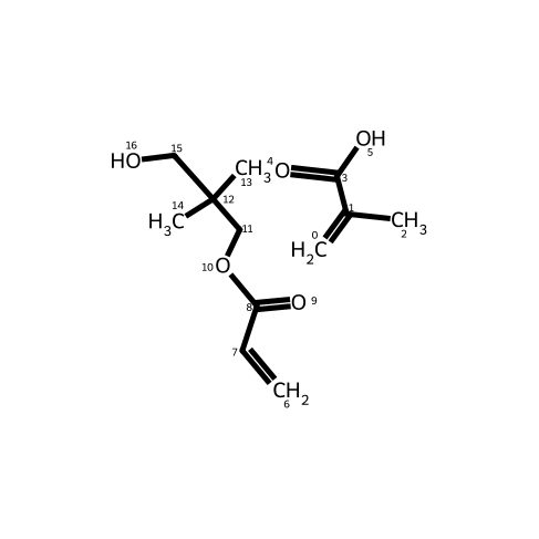 C=C(C)C(=O)O.C=CC(=O)OCC(C)(C)CO